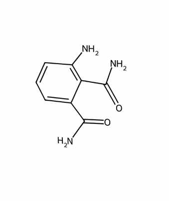 NC(=O)c1cccc(N)c1C(N)=O